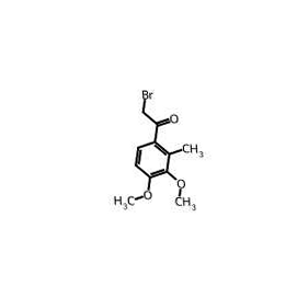 COc1ccc(C(=O)CBr)c(C)c1OC